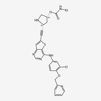 CCNC(=O)O[C@H]1CN[C@@H](C#Cc2cc3ncnc(Nc4ccc(OCc5ccccn5)c(Cl)c4)c3s2)C1